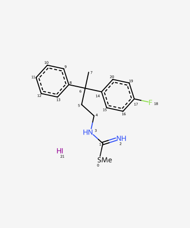 CSC(=N)NCCC(C)(c1ccccc1)c1ccc(F)cc1.I